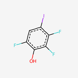 Oc1c(F)cc(I)c(F)c1F